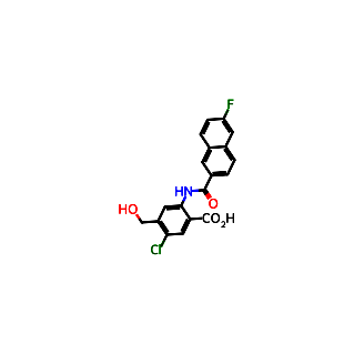 O=C(Nc1cc(CO)c(Cl)cc1C(=O)O)c1ccc2cc(F)ccc2c1